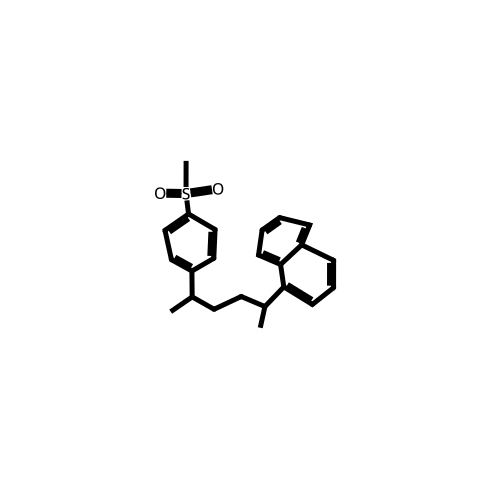 CC(CCC(C)c1cccc2ccccc12)c1ccc(S(C)(=O)=O)cc1